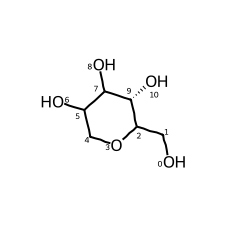 OCC1OCC(O)C(O)[C@@H]1O